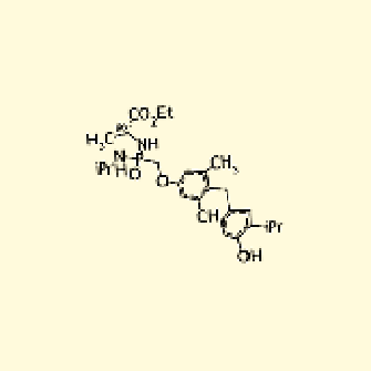 CCOC(=O)[C@@H](C)NP(=O)(COc1cc(C)c(Cc2ccc(O)c(C(C)C)c2)c(C)c1)NC(C)C